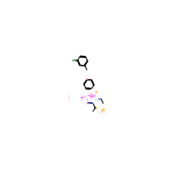 CC1C(C(=O)NO)N(S(=O)(=O)c2ccc(OCc3cccc(Cl)c3)cc2)CCS1(=O)=O